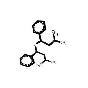 CC(C)CC(OC(CC(C)C)c1ccccc1)c1ccccc1